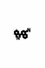 N#Cc1ccc(-c2cncc3cc[c]cc23)c2ccccc12